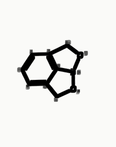 c1cc2c3c(c1)COB3OC2